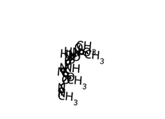 COc1ccc(NC(=O)Nc2nc3ccc(Nc4ncnc5cc(OCCCN6CCN(C)CC6)c(OC)cc45)cc3s2)c(OC)c1